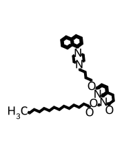 CCCCCCCCCCCCCC(=O)OCN1C(=O)CCc2ccc(OCCCCN3CCN(c4cccc5ccccc45)CC3)nc21